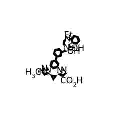 CCN1CCN(Cc2cccc(-c3cccc(-n4ncc(C(=O)O)c4[C@@H]4C[C@H]4c4cn(C)nn4)c3)c2)S(O)(O)c2ccccc21